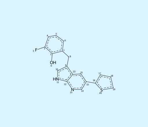 Oc1c(F)cccc1Cc1c[nH]c2ncc(-c3cccs3)cc12